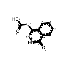 O=C(O)Oc1n[nH]c(=O)c2ccccc12